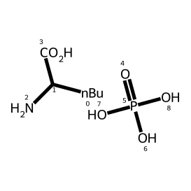 CCCCC(N)C(=O)O.O=P(O)(O)O